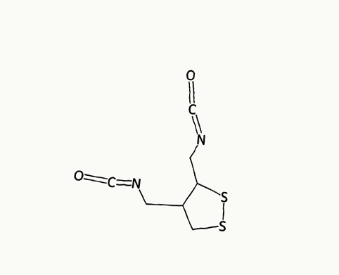 O=C=NCC1CSSC1CN=C=O